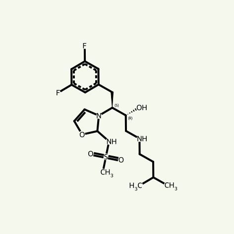 CC(C)CCNC[C@@H](O)[C@H](Cc1cc(F)cc(F)c1)N1C=COC1NS(C)(=O)=O